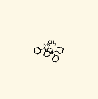 Cn1nc(-c2ccccc2)nc1C[PH](c1ccccc1)(c1ccccc1)c1ccccc1